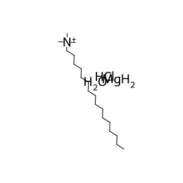 CCCCCCCCCCCCCCCC[N+](C)(C)C.Cl.O.[MgH2]